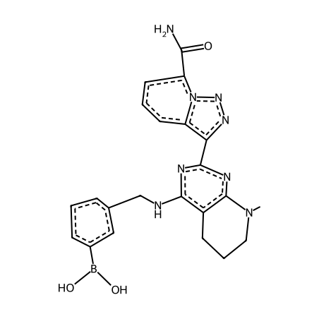 CN1CCCc2c(NCc3cccc(B(O)O)c3)nc(-c3nnn4c(C(N)=O)cccc34)nc21